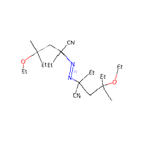 CCOC(C)(CC)CC(C#N)(CC)/N=N/C(C#N)(CC)CC(C)(CC)OCC